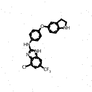 FC(F)(F)c1cc(Cl)c2nc(Nc3ccc(Oc4ccc5c(c4)CCN5)cc3)[nH]c2c1